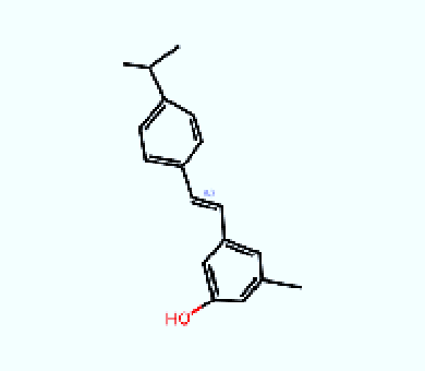 Cc1cc(O)cc(/C=C/c2ccc(C(C)C)cc2)c1